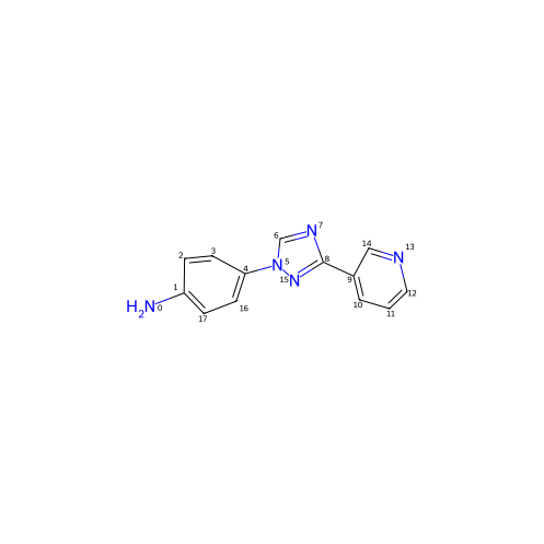 Nc1ccc(-n2cnc(-c3cccnc3)n2)cc1